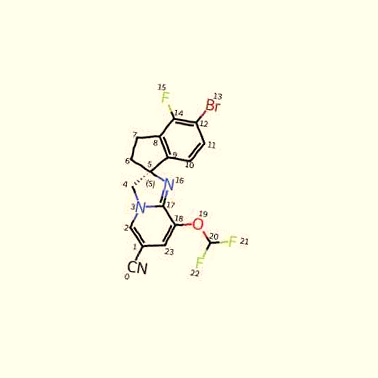 N#CC1=CN2C[C@@]3(CCc4c3ccc(Br)c4F)N=C2C(OC(F)F)=C1